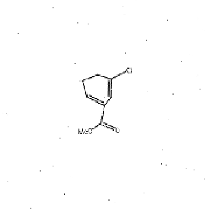 COC(=O)C1=C[CH]CC(Cl)=C1